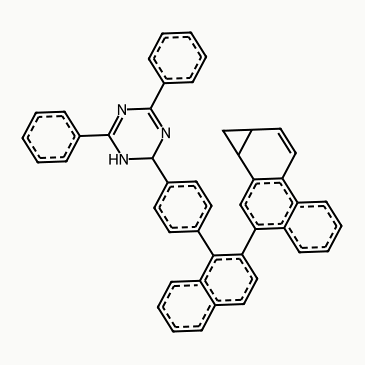 C1=CC2CC2c2cc(-c3ccc4ccccc4c3-c3ccc(C4N=C(c5ccccc5)N=C(c5ccccc5)N4)cc3)c3ccccc3c21